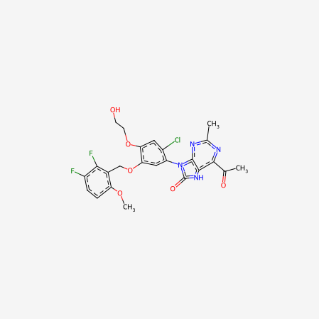 COc1ccc(F)c(F)c1COc1cc(-n2c(=O)[nH]c3c(C(C)=O)nc(C)nc32)c(Cl)cc1OCCO